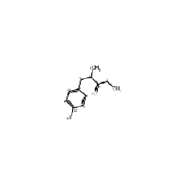 CCC(=O)C(C)Cc1ccc(F)cc1